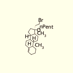 CCCCCO[C@]1(CCBr)CC[C@H]2[C@@H]3CCC4=CCCC[C@]4(C)[C@H]3CC[C@@]21C